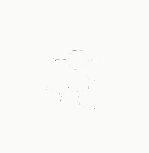 COc1ccc(Br)c[n+]1N.O=[N+]([O-])c1ccc([O-])c([N+](=O)[O-])c1